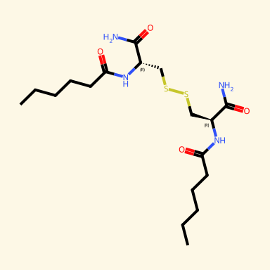 CCCCCC(=O)N[C@@H](CSSC[C@H](NC(=O)CCCCC)C(N)=O)C(N)=O